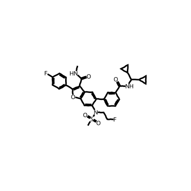 CNC(=O)c1c(-c2ccc(F)cc2)oc2cc(N(CCF)S(C)(=O)=O)c(-c3cccc(C(=O)NC(C4CC4)C4CC4)c3)cc12